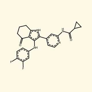 O=C1CCCc2[nH]c(-c3ccnc(NC(=O)C4CC4)c3)c(Nc3ccc(F)c(F)c3)c21